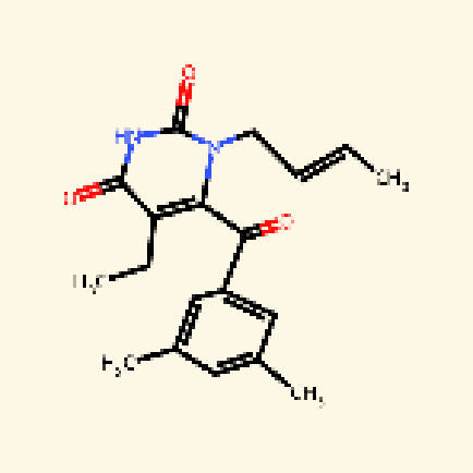 CC=CCn1c(C(=O)c2cc(C)cc(C)c2)c(CC)c(=O)[nH]c1=O